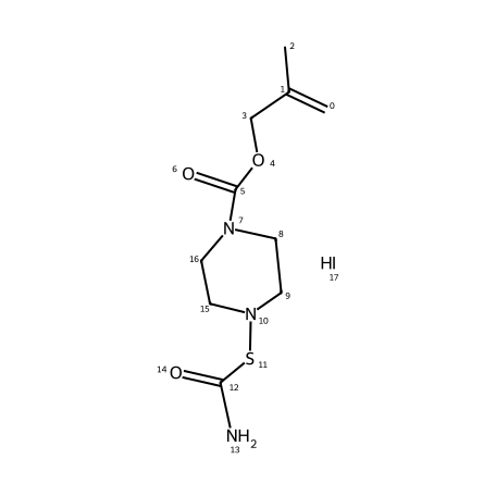 C=C(C)COC(=O)N1CCN(SC(N)=O)CC1.I